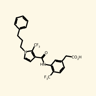 O=C(O)Cc1ccc(C(F)(F)F)c(NC(=O)c2ccn(CCCc3ccccc3)c2C(F)(F)F)c1